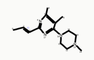 C/C=C/c1nc(C)c(C)c(N2CCN(C)CC2)n1